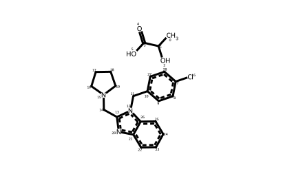 CC(O)C(=O)O.Clc1ccc(Cn2c(CN3CCCC3)nc3ccccc32)cc1